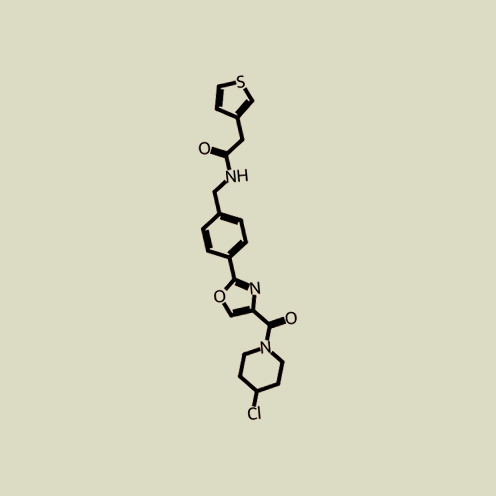 O=C(Cc1ccsc1)NCc1ccc(-c2nc(C(=O)N3CCC(Cl)CC3)co2)cc1